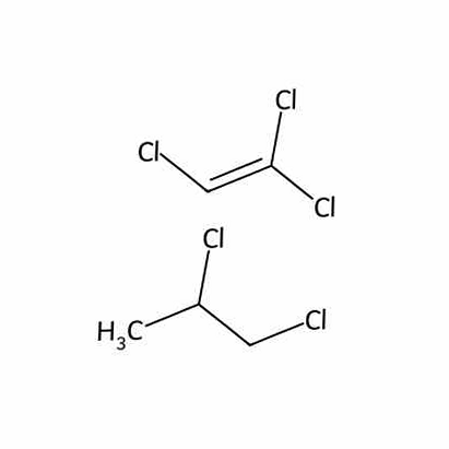 CC(Cl)CCl.ClC=C(Cl)Cl